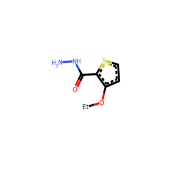 CCOc1ccsc1C(=O)NN